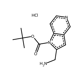 CC(C)(C)OC(=O)n1c(CN)cc2cnccc21.Cl